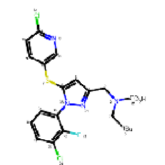 CC(C)(C)CN(Cc1cc(Sc2ccc(Cl)nc2)n(-c2cccc(Cl)c2F)n1)C(=O)O